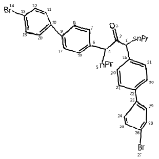 CCCC(C(=O)C(CCC)c1ccc(-c2ccc(Br)cc2)cc1)c1ccc(-c2ccc(Br)cc2)cc1